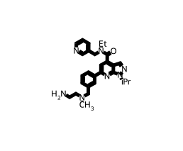 CCN(Cc1cccnc1)C(=O)c1cc(-c2cccc(CN(C)CCN)c2)nc2c1cnn2C(C)C